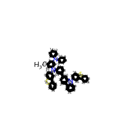 Cc1cc(N(c2ccccc2)c2ccccc2)cc(N(c2cccc(-c3ccc4c5ccccc5n(-c5ccc6sc7ccccc7c6c5)c4c3)c2)c2ccc3sc4ccccc4c3c2)c1